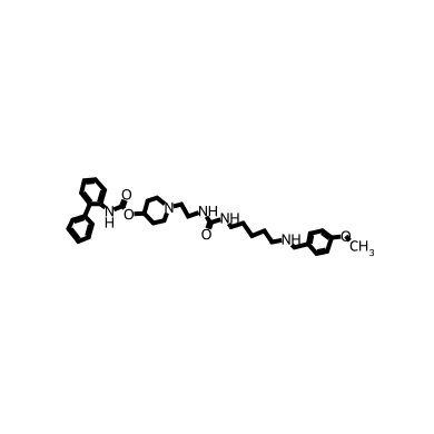 COc1ccc(CNCCCCCNC(=O)NCCN2CCC(OC(=O)Nc3ccccc3-c3ccccc3)CC2)cc1